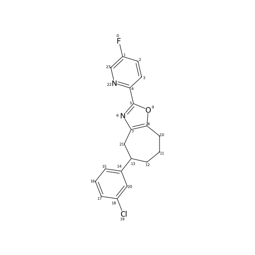 Fc1ccc(-c2nc3c(o2)CCCC(c2cccc(Cl)c2)C3)nc1